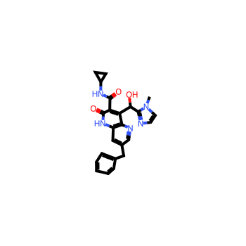 Cn1ccnc1C(O)c1c(C(=O)NC2CC2)c(=O)[nH]c2cc(Cc3ccccc3)cnc12